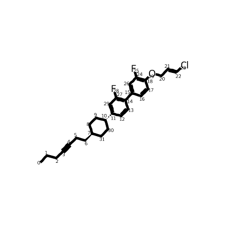 CCCC#CCC[C@H]1CC[C@H](c2ccc(-c3ccc(OC/C=C/Cl)c(F)c3)c(F)c2)CC1